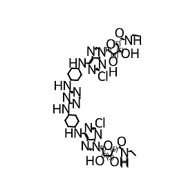 CCNC(=O)[C@H]1O[C@@H](n2cnc3c(N[C@H]4CC[C@H](Nc5ncnc(N[C@H]6CC[C@H](Nc7nc(Cl)nc8c7ncn8[C@@H]7O[C@H](C(=O)NCC)[C@@H](O)[C@H]7O)CC6)n5)CC4)nc(Cl)nc32)[C@H](O)[C@@H]1O